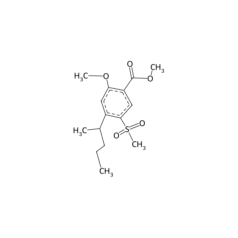 CCCC(C)c1cc(OC)c(C(=O)OC)cc1S(C)(=O)=O